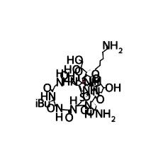 CC[C@H](C)C1NC(=O)CNC(=O)[C@H]2Cc3c([nH]c4cc(OCCCCCCN)ccc34)[S+]([O-])CC(NC(=O)CNC1=O)C(=O)N[C@@H](CC(N)=O)C(=O)N1CC(O)C[C@H]1C(=O)N[C@@H]([C@@H](C)[C@@H](O)CO)C(=O)N2